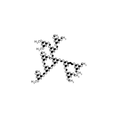 COc1nc(OC)nc(OCCc2nc(OCOc3nc(OC)nc(OC)n3)nc(OCOc3nc(OCOc4nc(OCOc5nc(OC)nc(OC)n5)nc(OCOc5nc(OC)nc(OC)n5)n4)nc(OCOc4nc(OCOc5nc(OC)nc(OC)n5)nc(OCOc5nc(OC)nc(OC)n5)n4)n3)n2)n1